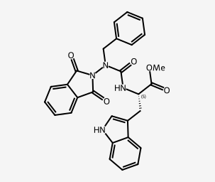 COC(=O)[C@H](Cc1c[nH]c2ccccc12)NC(=O)N(Cc1ccccc1)N1C(=O)c2ccccc2C1=O